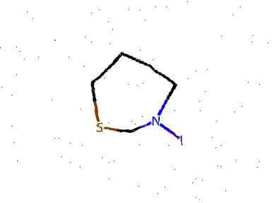 IN1CCCCSC1